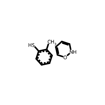 C1=CNOC=C1.Cc1ccccc1S